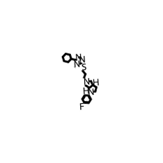 Cn1c(SCCCN2C[C@@H]3CCN(c4ccc(F)cc4)[C@@H]3C2)nnc1C1CCCCC1